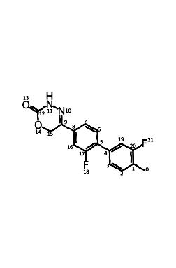 Cc1ccc(-c2ccc(C3=NNC(=O)OC3)cc2F)cc1F